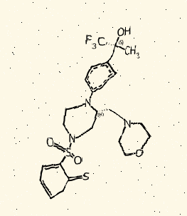 C[C@](O)(c1ccc(N2CCN(S(=O)(=O)C3=CC=CCC3=S)C[C@H]2CN2CCOCC2)cc1)C(F)(F)F